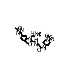 Cc1nc(-c2ccc(C)c(N(CCNC(C)C)C(=O)CNCC(=O)N(C)C3CCN(S(C)(=O)=O)CC3)c2)no1